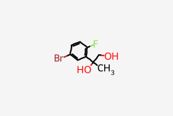 CC(O)(CO)c1cc(Br)ccc1F